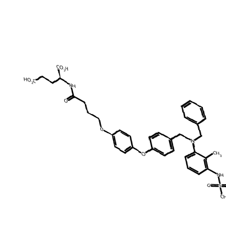 Cc1c(NS(C)(=O)=O)cccc1N(Cc1ccccc1)Cc1ccc(Oc2ccc(OCCCC(=O)N[C@@H](CCC(=O)O)C(=O)O)cc2)cc1